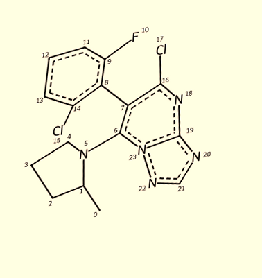 CC1CCCN1c1c(-c2c(F)cccc2Cl)c(Cl)nc2ncnn12